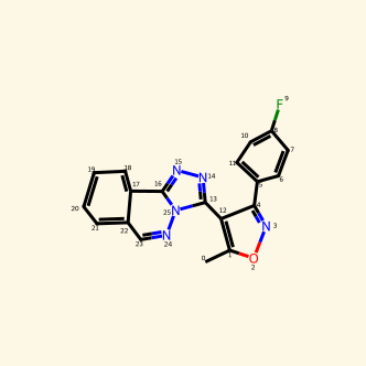 Cc1onc(-c2ccc(F)cc2)c1-c1nnc2c3ccccc3cnn12